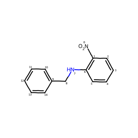 O=[N+]([O-])c1[c]cccc1NCc1ccccc1